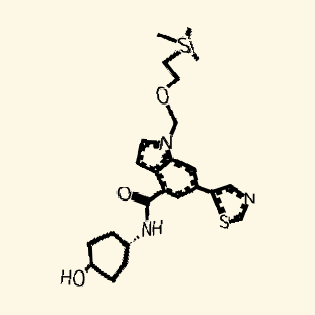 C[Si](C)(C)CCOCn1ccc2c(C(=O)N[C@H]3CC[C@H](O)CC3)cc(-c3cncs3)cc21